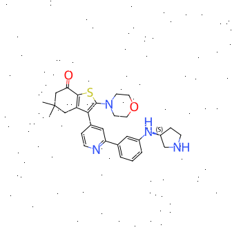 CC1(C)CC(=O)c2sc(N3CCOCC3)c(-c3ccnc(-c4cccc(N[C@H]5CCNC5)c4)c3)c2C1